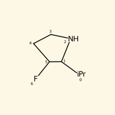 CC(C)C1NCCC1F